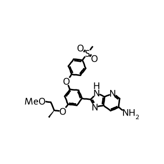 COC[C@H](C)Oc1cc(Oc2ccc(S(C)(=O)=O)cc2)cc(-c2nc3cc(N)cnc3[nH]2)c1